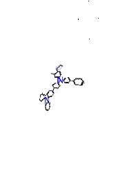 C/C=C\c1ccc(N(c2ccc(-c3ccccc3)cc2)c2ccc(-c3ccc4c(c3)c3ccccc3n4-c3ccccc3)cc2)cc1C